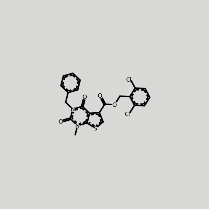 Cn1c(=O)n(Cc2ccccc2)c(=O)c2c(C(=O)OCc3c(Cl)cccc3Cl)csc21